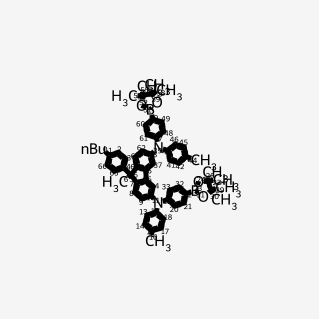 CCCCc1ccc(C2(C)c3ccc(N(c4ccc(C)cc4)c4ccc(B5OC(C)(C)C(C)(C)O5)cc4)cc3-c3cc(N(c4ccc(C)cc4)c4ccc(B5OC(C)(C)C(C)(C)O5)cc4)ccc32)cc1